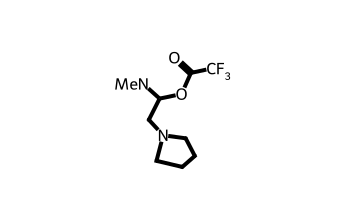 CNC(CN1CCCC1)OC(=O)C(F)(F)F